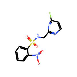 O=[N+]([O-])c1ccccc1S(=O)(=O)NCc1nccc(F)n1